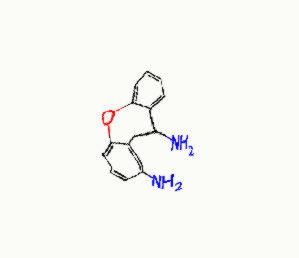 Nc1cccc2c1C(N)c1ccccc1O2